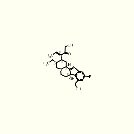 C/C=C(/C(=O)CO)[C@H]1C[C@H]2C3=Nc4cc(F)cc(CO)c4[C@@]3(O)CCN2C[C@H]1CC